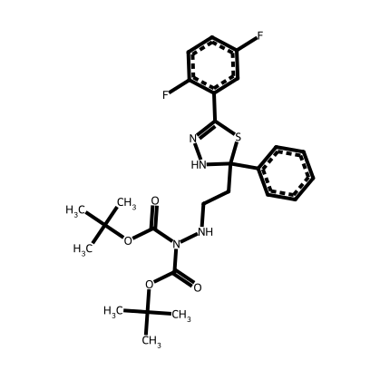 CC(C)(C)OC(=O)N(NCCC1(c2ccccc2)NN=C(c2cc(F)ccc2F)S1)C(=O)OC(C)(C)C